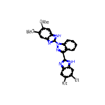 CCc1cc2nc(-c3nn(-c4nc5cc(OC)c(OC)cc5[nH]4)c4ccccc34)[nH]c2cc1CC